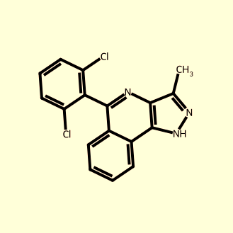 Cc1n[nH]c2c1nc(-c1c(Cl)cccc1Cl)c1ccccc12